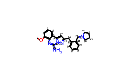 COc1cccc2c1nc(N)n1nc(Cc3ccccc3CN3CCCC3)cc21